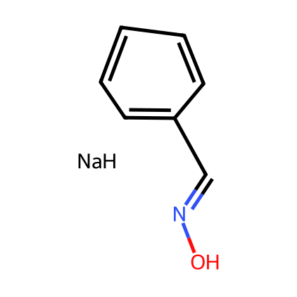 ON=Cc1ccccc1.[NaH]